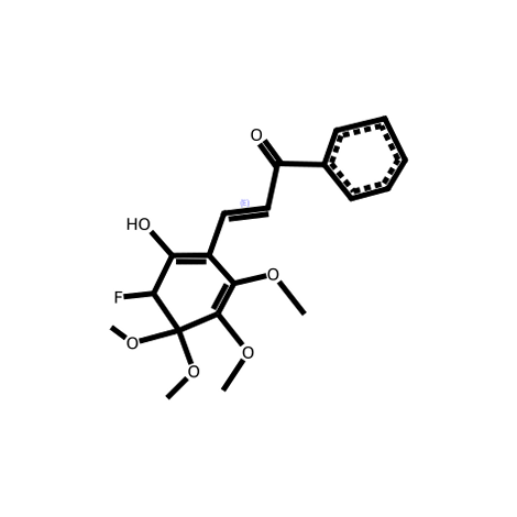 COC1=C(OC)C(OC)(OC)C(F)C(O)=C1/C=C/C(=O)c1ccccc1